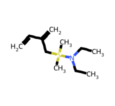 C=CC(=C)CS(C)(C)N(CC)CC